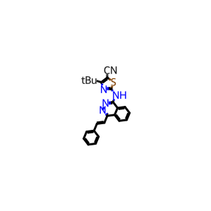 CC(C)(C)c1nc(Nc2nnc(C=Cc3ccccc3)c3ccccc23)sc1C#N